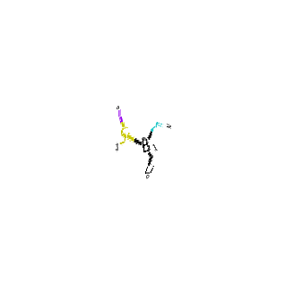 [Li][B](F)SI